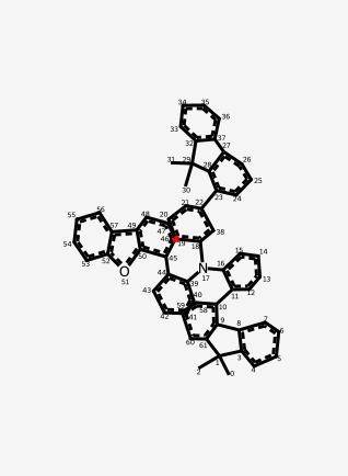 CC1(C)c2ccccc2-c2c(-c3ccccc3N(c3cccc(-c4cccc5c4C(C)(C)c4ccccc4-5)c3)c3ccccc3-c3cccc4c3oc3ccccc34)cccc21